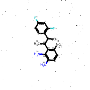 CC(c1ccc(F)cc1F)C(C)c1c([N+](=O)[O-])ccc(N)c1N